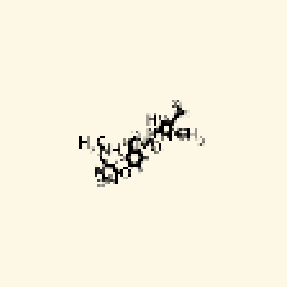 CNCc1cc(Oc2ccc3c(ccn3C(=O)Nc3cc(C4CC4)n(C)n3)c2)ncn1